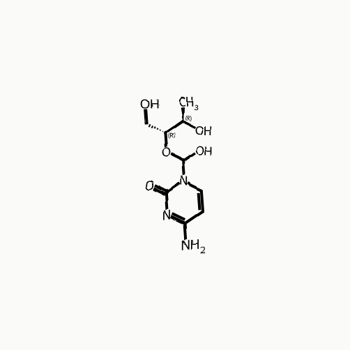 C[C@@H](O)[C@@H](CO)OC(O)n1ccc(N)nc1=O